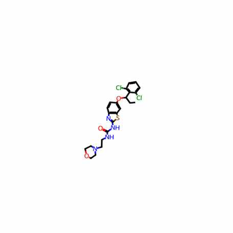 CCC(Oc1ccc2nc(NC(=O)NCCN3CCOCC3)sc2c1)c1c(Cl)cccc1Cl